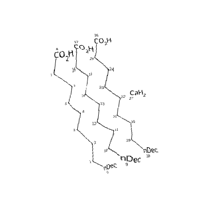 CCCCCCCCCCCCCCCCCC(=O)O.CCCCCCCCCCCCCCCCCC(=O)O.CCCCCCCCCCCCCCCCCC(=O)O.[CaH2]